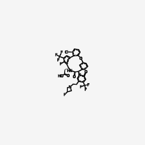 O=C(O)C[C@H]1NC(=O)[C@H](n2cc(CCN3CC(F)C3)c(C(F)(F)F)cc2=O)c2cccc(c2)Oc2cccc(Cl)c2-c2cc1c(F)c(C(F)(F)F)c2